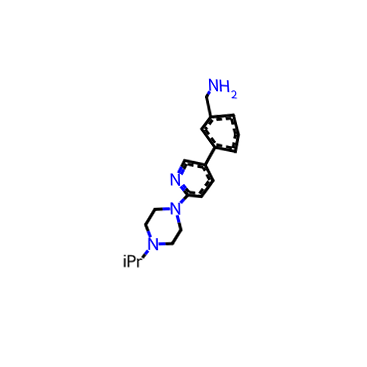 CC(C)N1CCN(c2ccc(-c3cccc(CN)c3)cn2)CC1